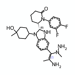 C/C(N)=C(\c1ccc2c(c1)N[C@@H](C1CCCC(=O)N1c1ccc(F)c(F)c1)N2C1CCC(C)(O)CC1)N(C)N